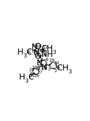 Cc1ccc(-c2cc(C(=O)N[C@H](C)c3nc(C)no3)nc(-c3ccc(C)cc3)n2)cc1